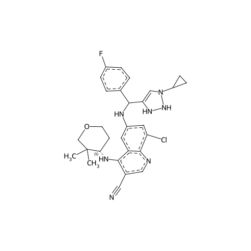 CC1(C)COCC[C@@H]1Nc1c(C#N)cnc2c(Cl)cc(NC(C3=CN(C4CC4)NN3)c3ccc(F)cc3)cc12